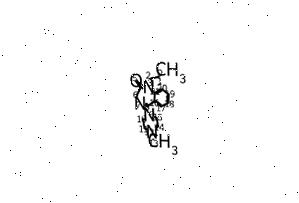 CCCN1C(=O)CN=C(N2CCN(C)CC2)c2ccccc21